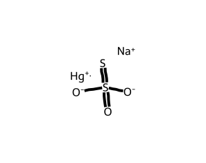 O=S([O-])([O-])=S.[Hg+].[Na+]